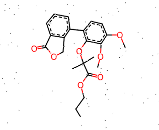 CCCOC(=O)C(C)(C)Oc1c(-c2cccc3c2COC3=O)ccc(OC)c1OC